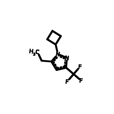 CCc1cc(C(F)(F)F)nn1C1CCC1